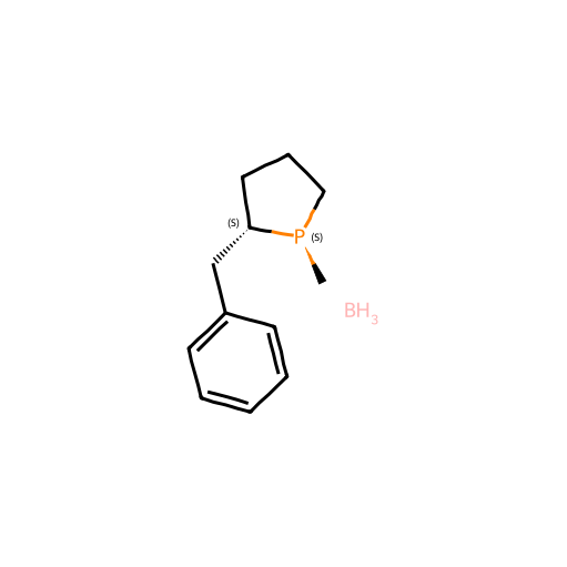 B.C[P@]1CCC[C@H]1Cc1ccccc1